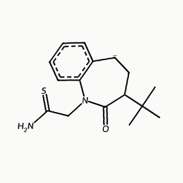 CC(C)(C)C1C[C]c2ccccc2N(CC(N)=S)C1=O